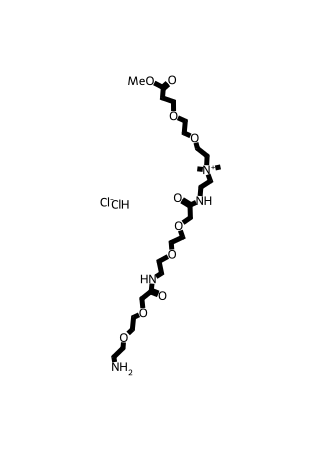 COC(=O)CCOCCOCC[N+](C)(C)CCNC(=O)COCCOCCNC(=O)COCCOCCN.Cl.[Cl-]